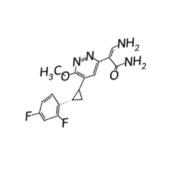 COc1nnc(/C(=C/N)C(N)=O)cc1C1C[C@@H]1c1ccc(F)cc1F